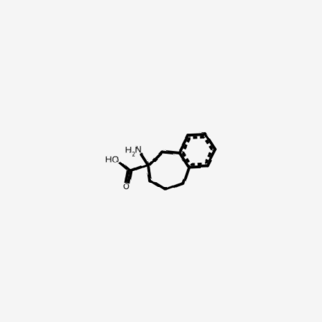 NC1(C(=O)O)CCCc2ccccc2C1